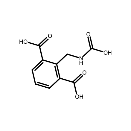 O=C(O)NCc1c(C(=O)O)cccc1C(=O)O